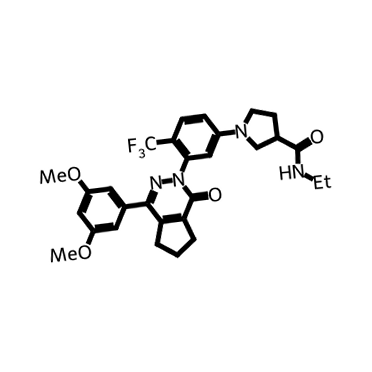 CCNC(=O)C1CCN(c2ccc(C(F)(F)F)c(-n3nc(-c4cc(OC)cc(OC)c4)c4c(c3=O)CCC4)c2)C1